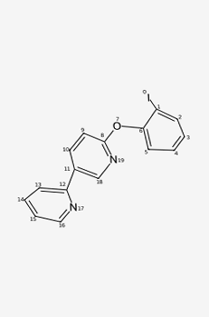 Ic1ccccc1Oc1ccc(-c2ccccn2)cn1